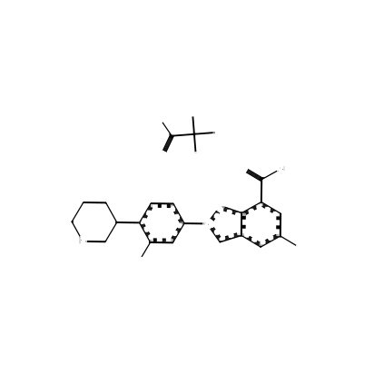 NC(=O)c1cc(F)cc2cn(-c3ccc(C4CCCNC4)c(F)c3)nc12.O=C(O)C(F)(F)F